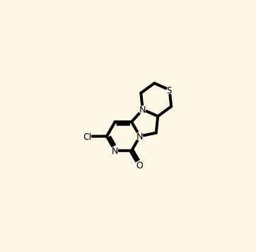 O=c1nc(Cl)cc2n1CC1CSCCN21